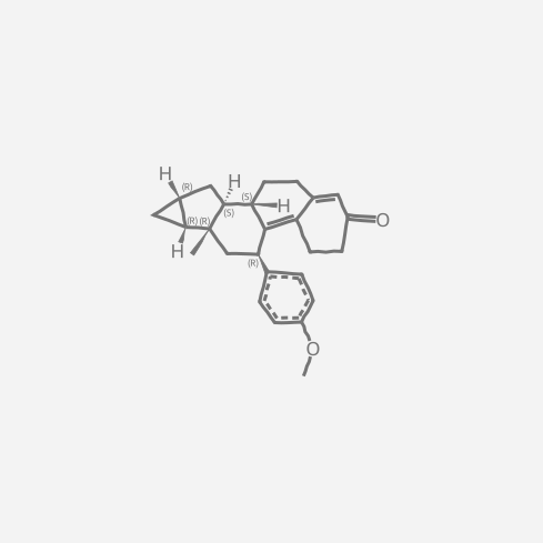 COc1ccc([C@H]2C[C@]3(C)[C@@H]4C[C@@H]4C[C@H]3[C@@H]3CCC4=CC(=O)CCC4=C32)cc1